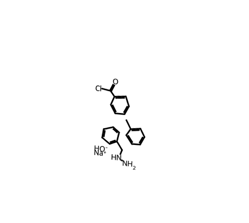 Cc1ccccc1.NNCc1ccccc1.O=C(Cl)c1ccccc1.[Na+].[OH-]